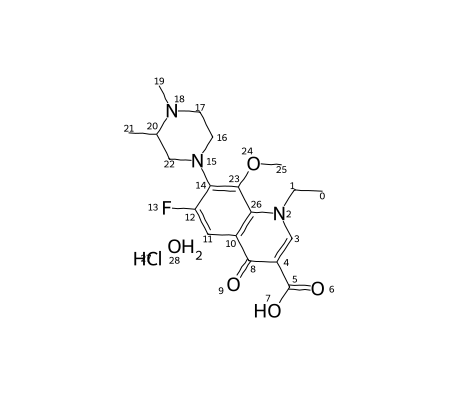 CCn1cc(C(=O)O)c(=O)c2cc(F)c(N3CCN(C)C(C)C3)c(OC)c21.Cl.O